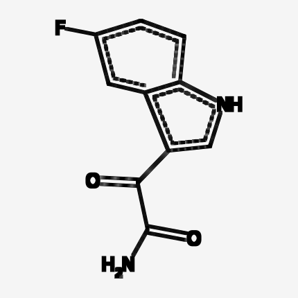 NC(=O)C(=O)c1c[nH]c2ccc(F)cc12